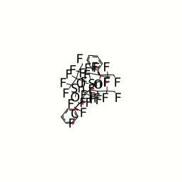 CC([O][Sn]([O][Sn]([O]C(C)c1ccccc1)([C](F)(F)C(F)(F)C(F)(F)CF)[C](F)(F)C(F)(F)C(F)(F)CF)([C](F)(F)C(F)(F)C(F)(F)CF)[C](F)(F)C(F)(F)C(F)(F)CF)c1ccccc1